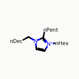 CCCCCCCCCCCn1cc[n+](CCCCCC)c1CCCCC